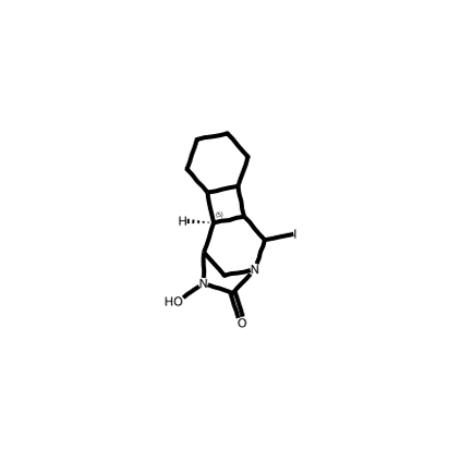 O=C1N(O)C2CN1C(I)C1C3CCCCC3[C@@H]12